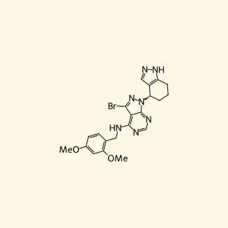 COc1ccc(CNc2ncnc3c2c(Br)nn3[C@@H]2CCCc3[nH]ncc32)c(OC)c1